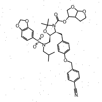 CC(C)CN(C[C@H]1OC(C)(C)N(C(=O)OC2COC3OCCC23)[C@H]1Cc1ccc(OCc2ccc(C#N)cc2)cc1)S(=O)(=O)c1ccc2c(c1)OCO2